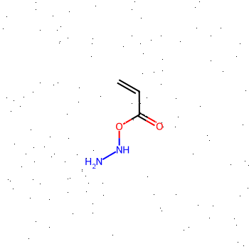 C=CC(=O)ONN